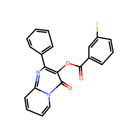 O=C(Oc1c(-c2ccccc2)nc2ccccn2c1=O)c1cccc(F)c1